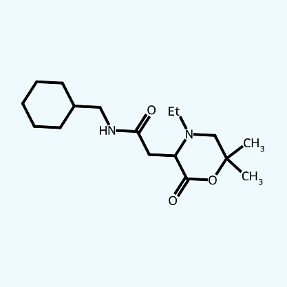 CCN1CC(C)(C)OC(=O)C1CC(=O)NCC1CCCCC1